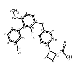 COc1ccc(Cc2ccc(N3CC[C@H]3C(=O)O)nc2)c(F)c1-c1cccc(Cl)c1